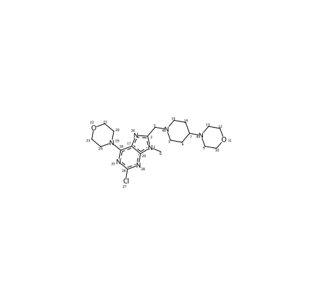 Cn1c(CN2CCC(N3CCOCC3)CC2)nc2c(N3CCOCC3)nc(Cl)nc21